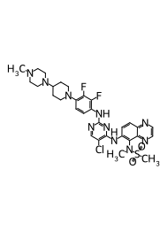 CN1CCN(C2CCN(c3ccc(Nc4ncc(Cl)c(Nc5ccc6nccnc6c5N(C)S(C)(=O)=O)n4)c(F)c3F)CC2)CC1